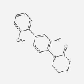 COc1ccccc1-c1ccc(N2CCCCC2=O)c(F)c1